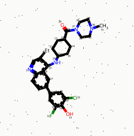 CCc1cnc2ccc(-c3cc(F)c(O)c(Cl)c3)cc2c1NC1CCC(C(=O)N2CCN(C)CC2)CC1